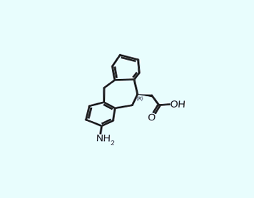 Nc1ccc2c(c1)C[C@H](CC(=O)O)c1ccccc1C2